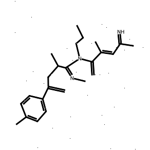 C=C(CC(C)/C(=N/C)N(CCC)C(=C)/C(C)=C/C(C)=N)c1ccc(C)cc1